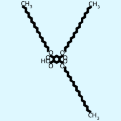 CCCCCCCCCCCCCCCCCCCCOC(=O)C1CC(C(=O)OCCCCCCCCCCCCCCCCCCCC)C(C(=O)OCCCCCCCCCCCCCCCCCCCC)CC1C(=O)O